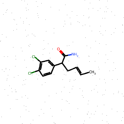 CC=CCC(C(N)=O)c1ccc(Cl)c(Cl)c1